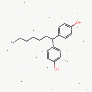 CC(C)CCCCCC(c1ccc(O)cc1)c1ccc(O)cc1